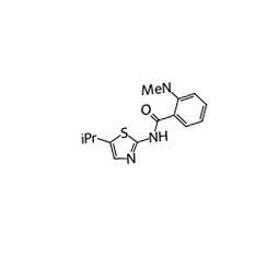 CNc1ccccc1C(=O)Nc1ncc(C(C)C)s1